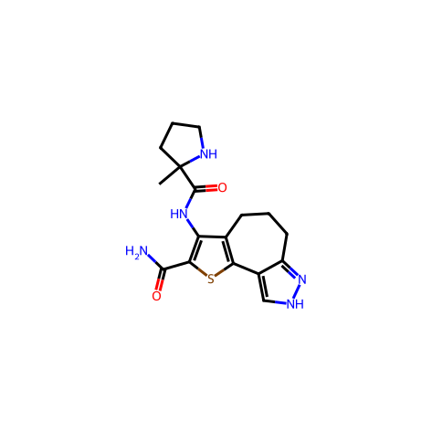 CC1(C(=O)Nc2c(C(N)=O)sc3c2CCCc2n[nH]cc2-3)CCCN1